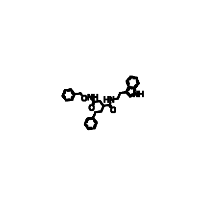 O=C(CC(CCc1ccccc1)C(=O)NCCc1c[nH]c2ccccc12)NOCc1ccccc1